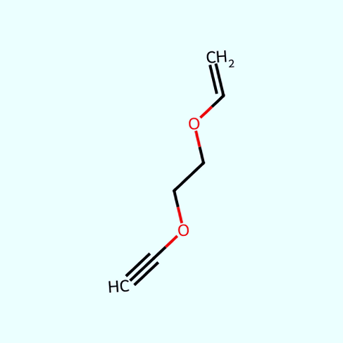 C#COCCOC=C